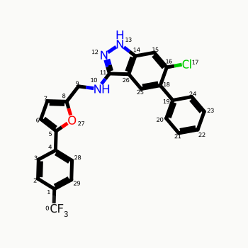 FC(F)(F)c1ccc(-c2ccc(CNc3n[nH]c4cc(Cl)c(-c5ccccc5)cc34)o2)cc1